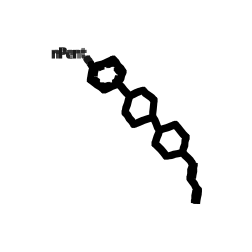 C=C/C=C/C1CCC(C2CCC(c3ccc(CCCCC)cc3)CC2)CC1